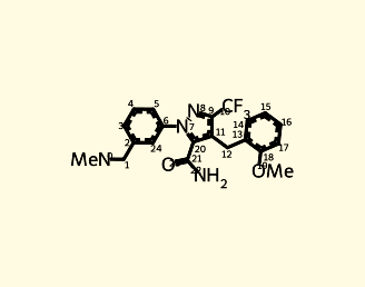 CNCc1cccc(-n2nc(C(F)(F)F)c(Cc3ccccc3OC)c2C(N)=O)c1